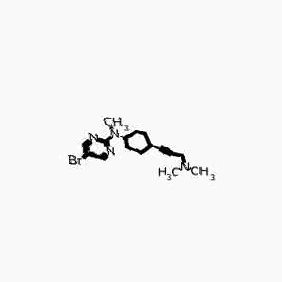 CN(C)CC#C[C@H]1CC[C@H](N(C)c2ncc(Br)cn2)CC1